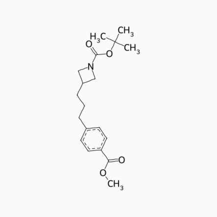 COC(=O)c1ccc(CCCC2CN(C(=O)OC(C)(C)C)C2)cc1